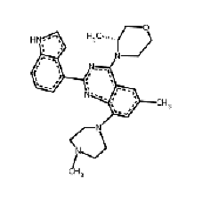 Cc1cc(N2CCN(C)CC2)c2nc(-c3cccc4[nH]ccc34)nc(N3CCOC[C@H]3C)c2c1